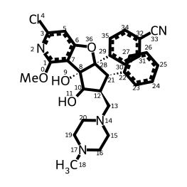 COc1nc(Cl)cc2c1[C@]1(O)C(O)[C@H](CN3CCN(C)CC3)[C@@H](c3ccccc3)[C@]1(c1ccc(C#N)cc1)O2